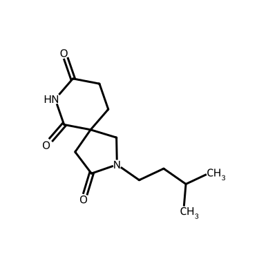 CC(C)CCN1CC2(CCC(=O)NC2=O)CC1=O